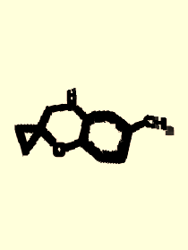 Cc1ccc2c(c1)NCC1(CC1)O2